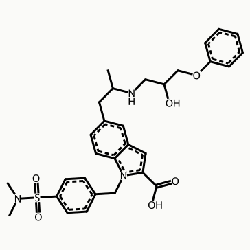 CC(Cc1ccc2c(c1)cc(C(=O)O)n2Cc1ccc(S(=O)(=O)N(C)C)cc1)NCC(O)COc1ccccc1